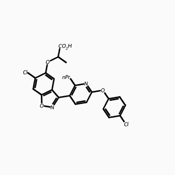 CCCc1nc(Oc2ccc(Cl)cc2)ccc1-c1noc2cc(Cl)c(OC(C)C(=O)O)cc12